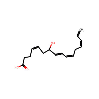 C=C/C=C\C/C=C\C=C\C(O)C/C=C\CCC(=O)O